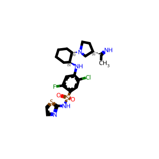 CC(=N)[C@H]1CCN([C@H]2CCCC[C@@H]2Nc2cc(F)c(S(=O)(=O)Nc3nccs3)cc2Cl)C1